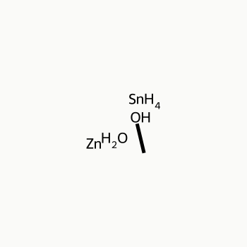 CO.O.[SnH4].[Zn]